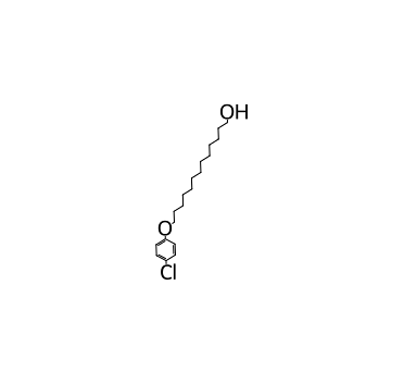 OCCCCCCCCCCCCCOc1ccc(Cl)cc1